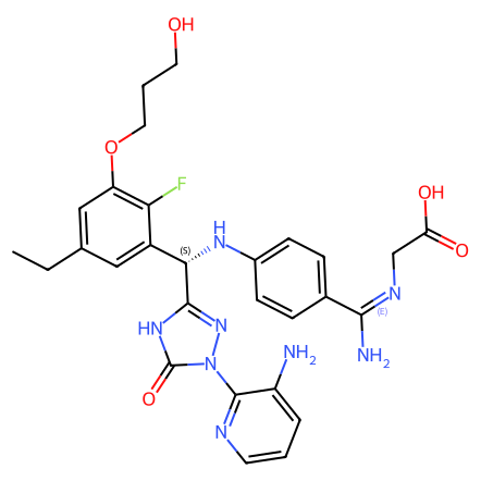 CCc1cc(OCCCO)c(F)c([C@H](Nc2ccc(/C(N)=N\CC(=O)O)cc2)c2nn(-c3ncccc3N)c(=O)[nH]2)c1